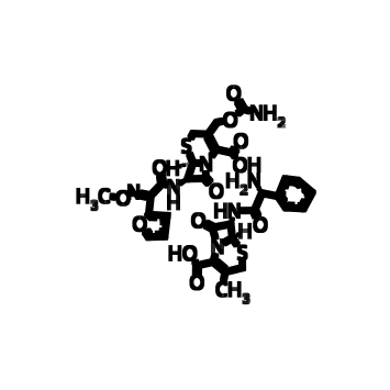 CC1=C(C(=O)O)N2C(=O)[C@@H](NC(=O)[C@H](N)c3ccccc3)[C@H]2SC1.CO/N=C(/C(=O)N[C@@H]1C(=O)N2C(C(=O)O)=C(COC(N)=O)CS[C@H]12)c1ccco1